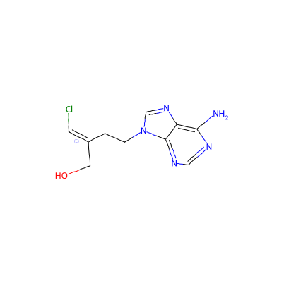 Nc1ncnc2c1ncn2CC/C(=C\Cl)CO